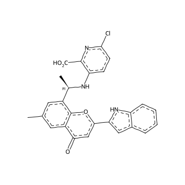 Cc1cc([C@@H](C)Nc2ccc(Cl)nc2C(=O)O)c2oc(-c3cc4ccccc4[nH]3)cc(=O)c2c1